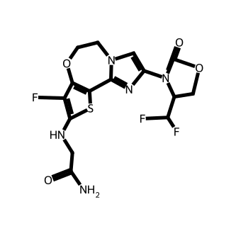 NC(=O)CNc1sc2c(c1F)OCCn1cc(N3C(=O)OCC3C(F)F)nc1-2